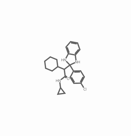 O=C(NC1CC1)C(C1CCCCC1)C1(c2ccc(Cl)cc2)Nc2ccccc2N1